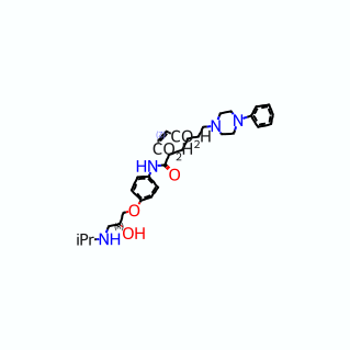 CC(C)NC[C@@H](O)COc1ccc(NC(=O)CCCCCN2CCN(c3ccccc3)CC2)cc1.O=C(O)/C=C\C(=O)O